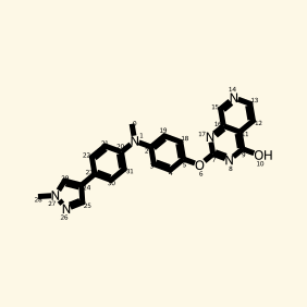 CN(c1ccc(Oc2nc(O)c3ccncc3n2)cc1)c1ccc(-c2cnn(C)c2)cc1